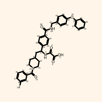 O=C(O)C(=O)NC(CC1CCN(C(=O)c2cccc(I)c2)CC1)c1ccc(C(=O)NCc2ccc(Oc3ccccc3)cc2)cc1